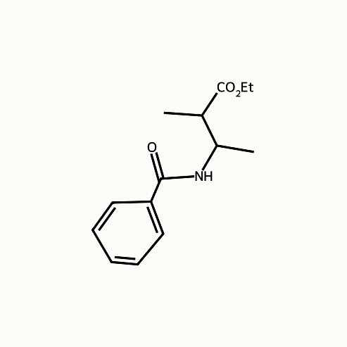 CCOC(=O)C(C)C(C)NC(=O)c1ccccc1